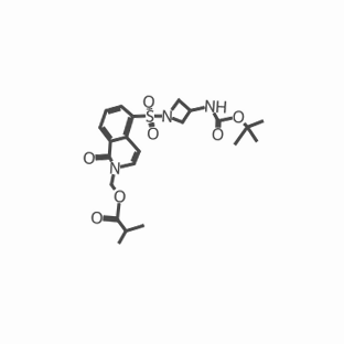 CC(C)C(=O)OCn1ccc2c(S(=O)(=O)N3CC(NC(=O)OC(C)(C)C)C3)cccc2c1=O